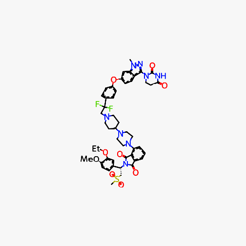 CCOc1cc([C@@H](CS(C)(=O)=O)N2C(=O)c3cccc(N4CCN(C5CCN(CC(F)(F)c6ccc(Oc7ccc8c(N9CCC(=O)NC9=O)nn(C)c8c7)cc6)CC5)CC4)c3C2=O)ccc1OC